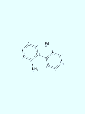 Nc1ccccc1-c1ccccc1.[Pd]